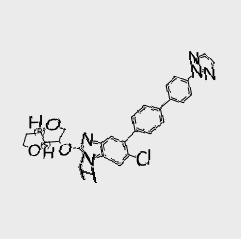 Clc1cc2[nH]c(OC3CO[C@@H]4CCO[C@H]34)nc2cc1-c1ccc(-c2ccc(-n3nccn3)cc2)cc1